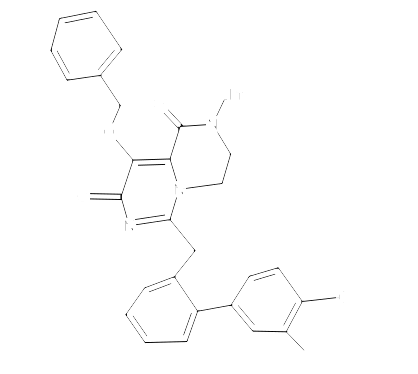 Cc1ccc(-c2ccccc2Cc2nc(=O)c(OCc3ccccc3)c3n2CCN(C(C)C)C3=O)cc1F